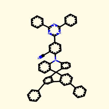 N#Cc1cc(-c2nc(-c3ccccc3)nc(-c3ccccc3)n2)ccc1N1c2ccccc2C2(c3ccc(-c4ccccc4)cc3-c3cc(-c4ccccc4)ccc32)c2ccccc21